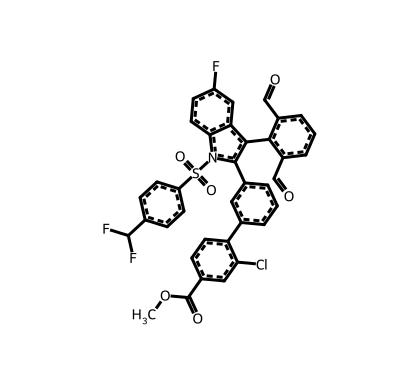 COC(=O)c1ccc(-c2cccc(-c3c(-c4c(C=O)cccc4C=O)c4cc(F)ccc4n3S(=O)(=O)c3ccc(C(F)F)cc3)c2)c(Cl)c1